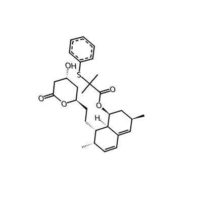 C[C@H]1C=C2C=C[C@H](C)[C@H](CC[C@@H]3C[C@@H](O)CC(=O)O3)[C@H]2[C@@H](OC(=O)C(C)(C)Sc2ccccc2)C1